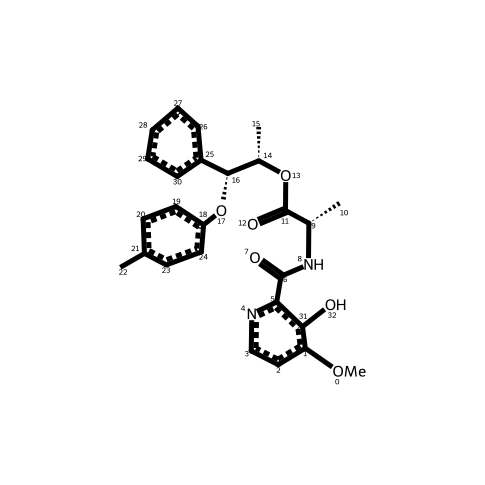 COc1ccnc(C(=O)N[C@@H](C)C(=O)O[C@@H](C)[C@H](Oc2ccc(C)cc2)c2ccccc2)c1O